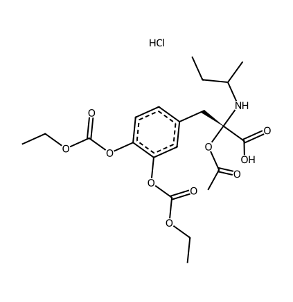 CCOC(=O)Oc1ccc(C[C@](NC(C)CC)(OC(C)=O)C(=O)O)cc1OC(=O)OCC.Cl